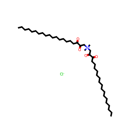 CCCCCCCCCCCCCCCCCC(=O)C(=O)C[N+](C)(C)CC(=O)C(=O)CCCCCCCCCCCCCCCCC.[Cl-]